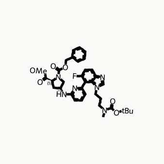 COC(=O)[C@@H]1C[C@H](Nc2cccc(-c3c(F)ccc4ncn(CCCN(C)C(=O)OC(C)(C)C)c34)n2)CN1C(=O)OCc1ccccc1